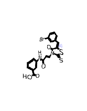 O=C(CCN1C(=O)/C(=C\c2cccc(Br)c2)SC1=S)Nc1cccc(C(=O)O)c1